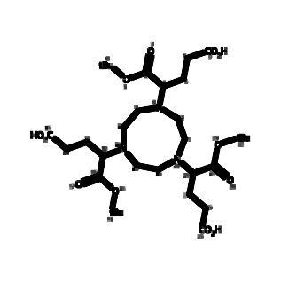 CC(C)(C)OC(=O)C(CCC(=O)O)N1CCN(C(CCC(=O)O)C(=O)OC(C)(C)C)CCN(C(CCC(=O)O)C(=O)OC(C)(C)C)CC1